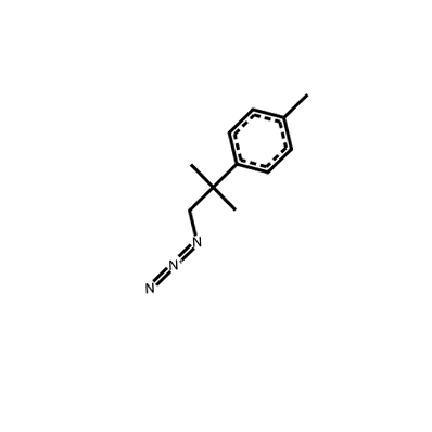 Cc1ccc(C(C)(C)CN=[N+]=[N-])cc1